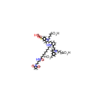 CC1(C)C(/C=C/C2=C(NCCCCCCCCCCC(=O)NCCCCN3C(=O)C=CC3=O)C(=C/C=C3/N(CCCCS(=O)(=O)O)c4ccc(S(=O)(=O)O)cc4C3(C)C)/CCC2)=[N+](CCCCS(=O)(=O)O)c2ccc(SOOO)cc21